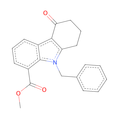 COC(=O)c1cccc2c3c(n(Cc4ccccc4)c12)CCCC3=O